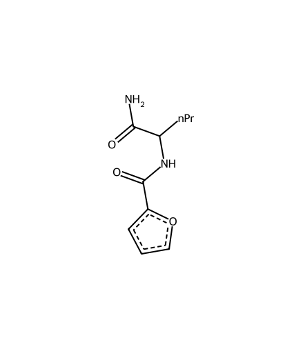 CCCC(NC(=O)c1ccco1)C(N)=O